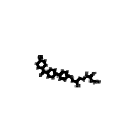 CCC(CCNC(=O)OC(C)(C)C)COc1ccc(C2=CCC(C(=O)N3CCC(C#N)CC3)CC2)cc1